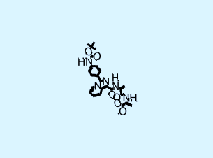 C=C(NC(=O)c1nc(-c2ccc(NC(=O)OC(C)(C)C)cc2)n2ccccc12)C(=O)NC(=C)C(=O)OC